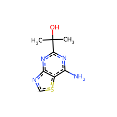 CC(C)(O)c1nc(N)c2s[c]nc2n1